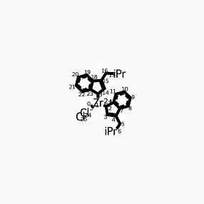 [CH2]=[Zr+2]([CH]1C=C(CC(C)C)c2ccccc21)[CH]1C=C(CC(C)C)c2ccccc21.[Cl-].[Cl-]